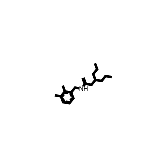 C=C(CC(CCC)CCC)NCc1cccc(C)c1C